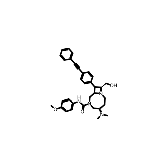 COc1ccc(NC(=O)N2CC(N(C)C)CCN3C(C2)C(c2ccc(C#Cc4ccccc4)cc2)[C@H]3CO)cc1